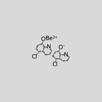 [Be+2].[O-]c1ccc(Cl)c2cccnc12.[O-]c1ccc(Cl)c2cccnc12